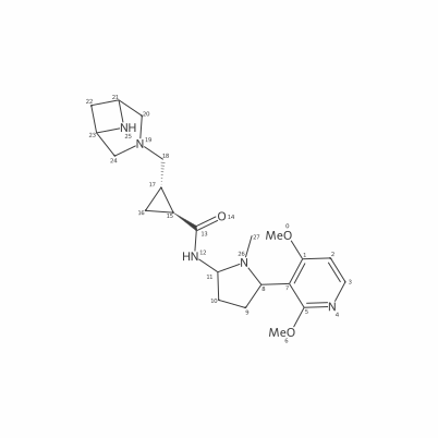 COc1ccnc(OC)c1C1CCC(NC(=O)[C@H]2C[C@@H]2CN2CC3CC(C2)N3)N1C